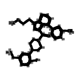 COCCn1cc(C(=O)N2CCC(c3cc(CN)ccc3F)CC2)c2c(-c3ccnc(C)c3)cccc21